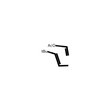 C=COC(C)=O.CC=CC(C)(C)C